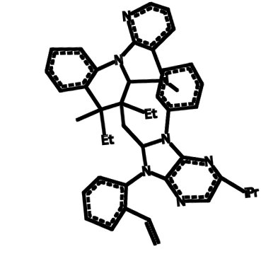 C=Cc1ccccc1N1c2ncc(C(C)C)nc2N(c2ccccc2)C1CC1(CC)C2N(C)c3cccnc3N2c2ccccc2C1(C)CC